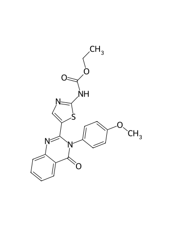 CCOC(=O)Nc1ncc(-c2nc3ccccc3c(=O)n2-c2ccc(OC)cc2)s1